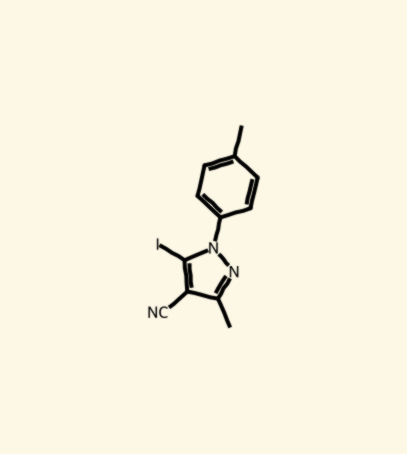 Cc1ccc(-n2nc(C)c(C#N)c2I)cc1